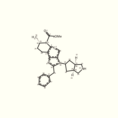 COC(=O)N1c2ccc3c(nc(Cc4ccccc4)n3C3C[C@H]4CNC[C@H]4C3)c2CC[C@@H]1C